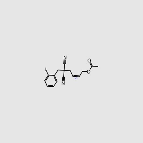 CC(=O)OC/C=C\CC(C#N)(C#N)Cc1ccccc1I